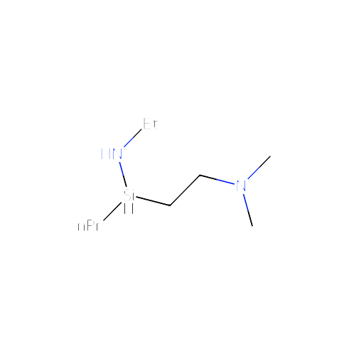 CCC[SiH](CCN(C)C)NCC